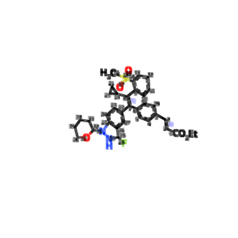 CCOC(=O)/C=C/c1ccc(/C(=C(\c2ccccc2S(C)(=O)=O)C2CC2)c2ccc3c(c2)C(F)NN3C2CCCCO2)cc1